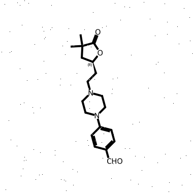 CC1(C)C[C@H](CCN2CCN(c3ccc(C=O)cc3)CC2)OC1=O